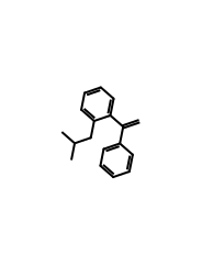 C=C(c1ccccc1)c1ccccc1CC(C)C